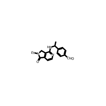 CCN1Cc2c(ccnc2NC(C)c2ccc(C=O)cc2)C1=O